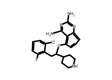 Nc1nc(N)c2c(OC(Cc3c(F)cccc3Cl)C3CCNCC3)cccc2n1